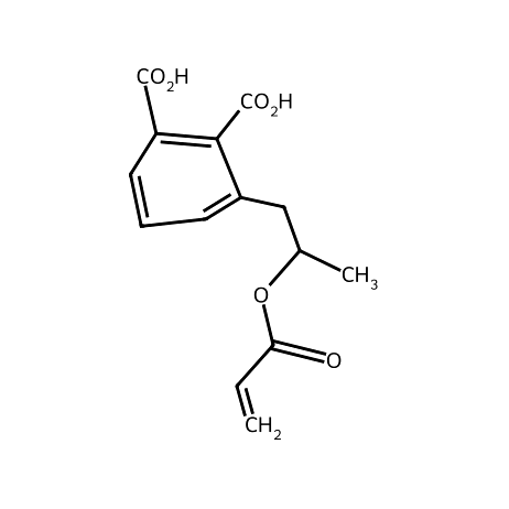 C=CC(=O)OC(C)Cc1cccc(C(=O)O)c1C(=O)O